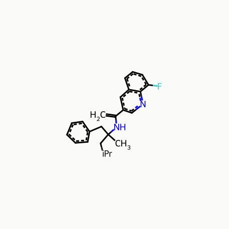 C=C(NC(C)(Cc1ccccc1)CC(C)C)c1cnc2c(F)cccc2c1